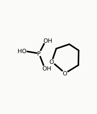 C1CCOOC1.OP(O)O